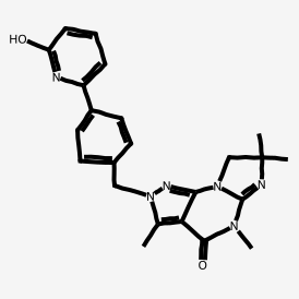 Cc1c2c(nn1Cc1ccc(-c3cccc(O)n3)cc1)N1CC(C)(C)N=C1N(C)C2=O